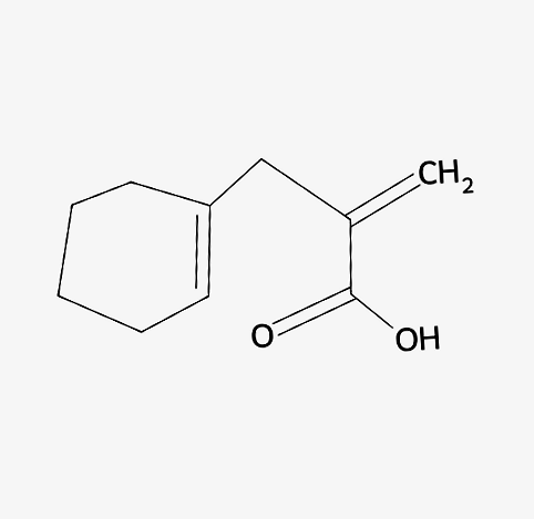 C=C(CC1=CCCCC1)C(=O)O